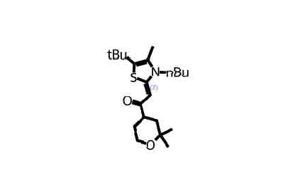 CCCCN1C(C)=C(C(C)(C)C)S/C1=C\C(=O)C1CCOC(C)(C)C1